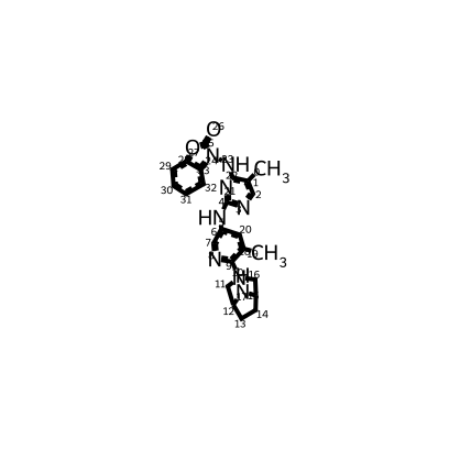 Cc1cnc(Nc2cnc(N3CC4CCC(C3)N4)c(C)c2)nc1Nn1c(=O)oc2ccccc21